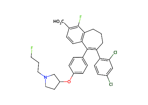 O=C(O)c1ccc2c(c1F)CCCC(c1ccc(Cl)cc1Cl)=C2c1ccc(OC2CCN(CCCF)C2)cc1